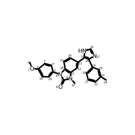 COc1ccc(-n2c(=O)n(C)c3cc(-c4[nH]cnc4-c4cccc(C)c4)ccc32)cc1